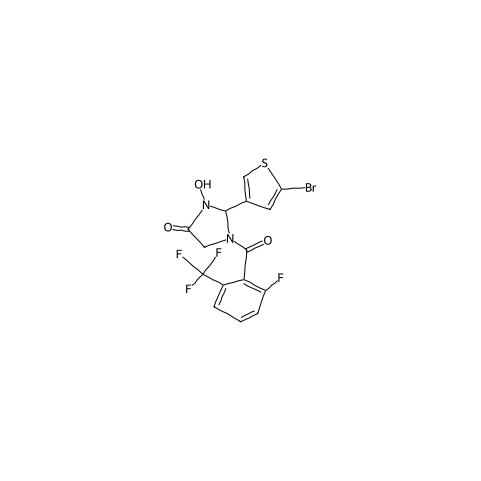 O=C1CN(C(=O)c2c(F)cccc2C(F)(F)F)C(c2csc(Br)c2)N1O